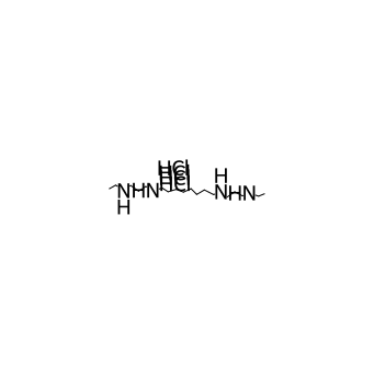 CCNCCCNCCCCCCCCNCCCNCC.Cl.Cl.Cl.Cl